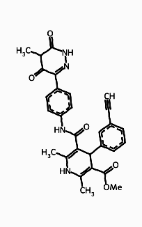 C#Cc1cccc(C2C(C(=O)Nc3ccc(C4=NNC(=O)C(C)C4=O)cc3)=C(C)NC(C)=C2C(=O)OC)c1